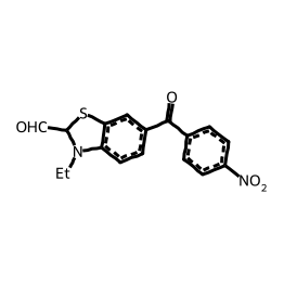 CCN1c2ccc(C(=O)c3ccc([N+](=O)[O-])cc3)cc2SC1C=O